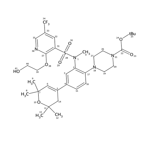 CN(c1cc(C2=CC(C)(C)OC(C)(C)C2)ccc1N1CCN(C(=O)OC(C)(C)C)CC1)S(=O)(=O)c1cc(C(F)(F)F)cnc1OCCO